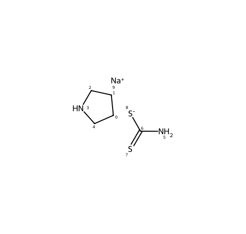 C1CCNC1.NC(=S)[S-].[Na+]